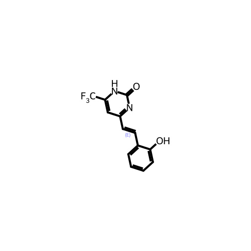 O=c1nc(/C=C/c2ccccc2O)cc(C(F)(F)F)[nH]1